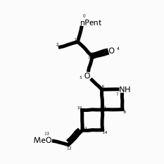 CCCCCC(C)C(=O)OC1NCC12CC(=COC)C2